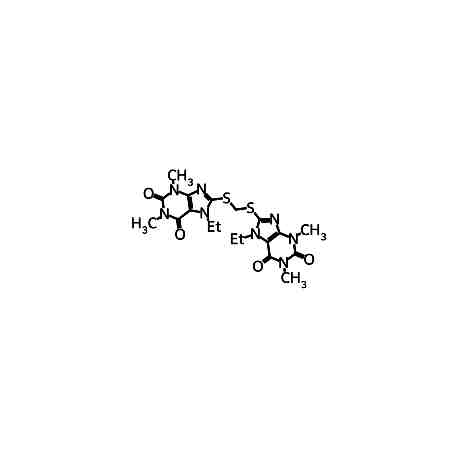 CCn1c(SCSc2nc3c(c(=O)n(C)c(=O)n3C)n2CC)nc2c1c(=O)n(C)c(=O)n2C